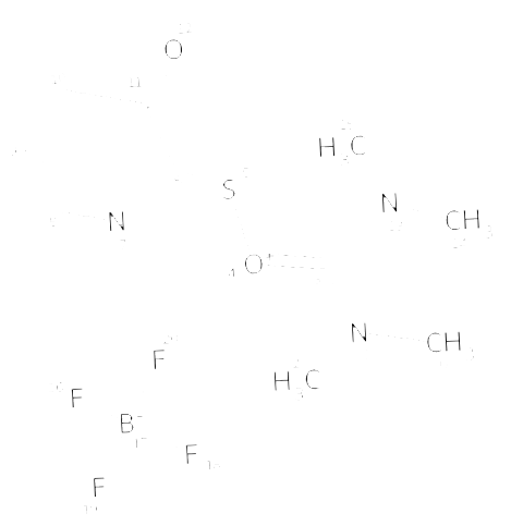 CN(C)C(=[O+]SC1=NC=CCC1=O)N(C)C.F[B-](F)(F)F